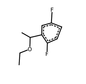 CCOC(C)c1cc(F)ccc1F